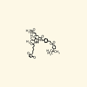 CC(C)[C@H](NC(=O)CCCCCN1C(=O)C=CC1=O)C(=O)N[C@@H](CCCNC(N)=O)C(=O)Nc1ccc(COC(=O)N2CC[C@@H](C(C)(C)C)C2)cc1